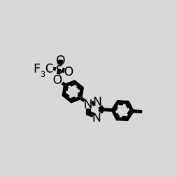 Cc1ccc(-c2ncn(-c3ccc(OS(=O)(=O)C(F)(F)F)cc3)n2)cc1